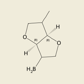 BC1CO[C@@H]2C(C)CO[C@H]12